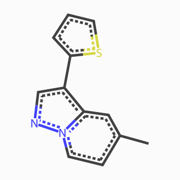 Cc1ccn2ncc(-c3cccs3)c2c1